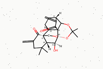 C=C1CC(C)(C)[C@H]2[C@H](O)[C@@]34OC[C@]2(C1=O)[C@@H]1CC[C@H]2C(=C)C(=O)[C@]13C2OC(C)(C)O4